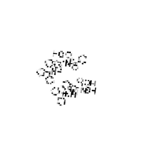 O=C(O)C(=NO)c1csc(NC(c2ccccc2)(c2ccccc2)c2ccccc2)n1.O=C(O)C(=NOC(=O)c1ccccc1)c1csc(NC(c2ccccc2)(c2ccccc2)c2ccccc2)n1